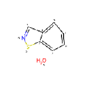 O.c1ccc2sncc2c1